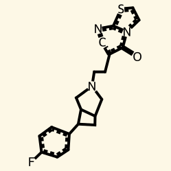 O=c1c(CCN2CC3CC(c4ccc(F)cc4)C3C2)cnc2sccn12